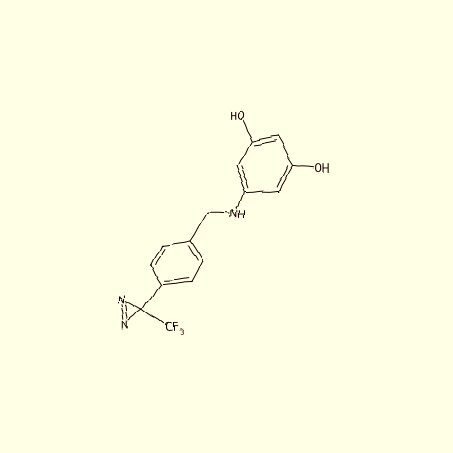 Oc1cc(O)cc(NCc2ccc(C3(C(F)(F)F)N=N3)cc2)c1